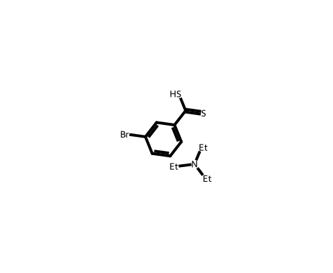 CCN(CC)CC.S=C(S)c1cccc(Br)c1